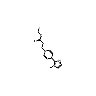 CCOC(=O)CCN1C=CC(c2nccn2C)C=N1